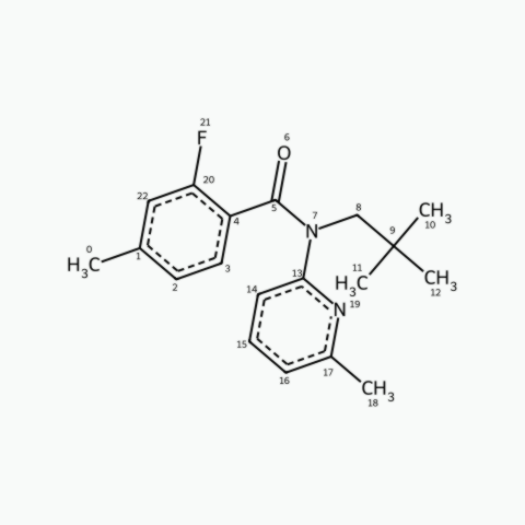 Cc1ccc(C(=O)N(CC(C)(C)C)c2cccc(C)n2)c(F)c1